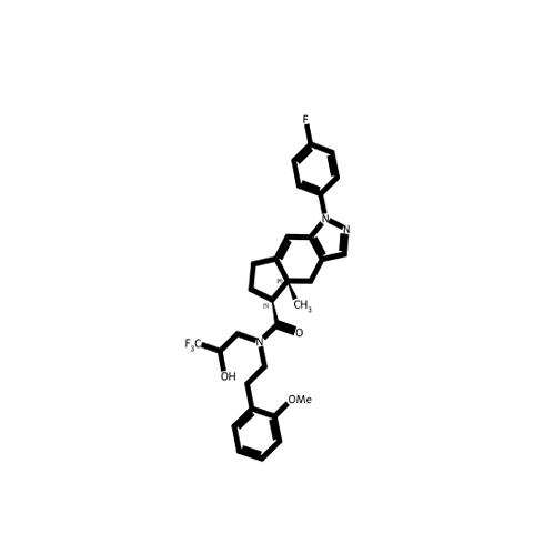 COc1ccccc1CCN(CC(O)C(F)(F)F)C(=O)[C@H]1CCC2=Cc3c(cnn3-c3ccc(F)cc3)C[C@@]21C